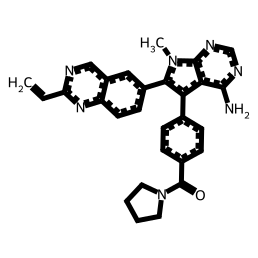 C=Cc1ncc2cc(-c3c(-c4ccc(C(=O)N5CCCC5)cc4)c4c(N)ncnc4n3C)ccc2n1